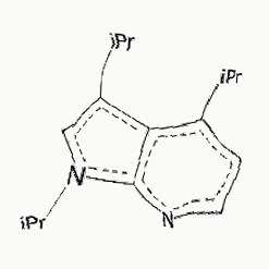 CC(C)c1ccnc2c1c(C(C)C)cn2C(C)C